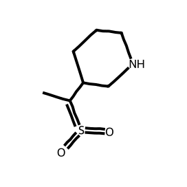 CC(C1CCCNC1)=S(=O)=O